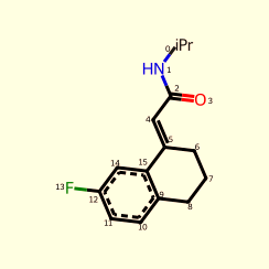 CC(C)NC(=O)C=C1CCCc2ccc(F)cc21